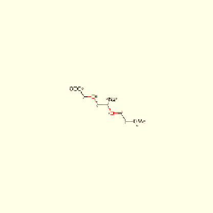 COCCOCCOCC(=O)[O-].[Na+]